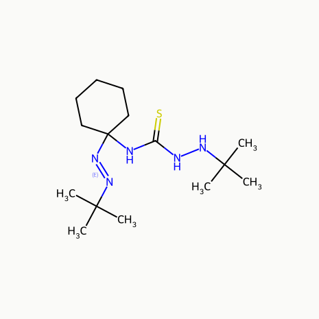 CC(C)(C)/N=N/C1(NC(=S)NNC(C)(C)C)CCCCC1